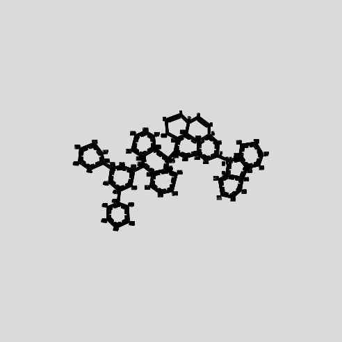 C1=CC2C=Cc3cc(-n4c5ccccc5c5ccccc54)cc4cc(-c5c6ccccc6c(-c6cc(-c7ccccc7)cc(-c7ccccc7)c6)c6ccccc56)c(c2c34)C1